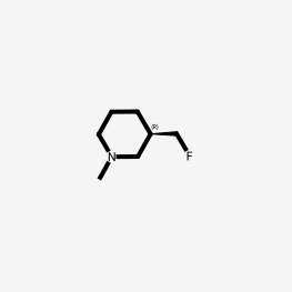 CN1CCC[C@@H](CF)C1